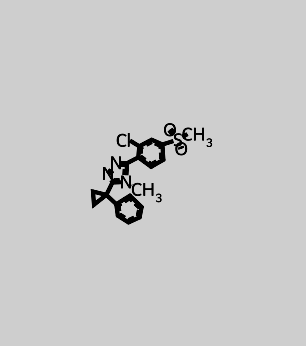 Cn1c(-c2ccc(S(C)(=O)=O)cc2Cl)nnc1C1(c2ccccc2)CC1